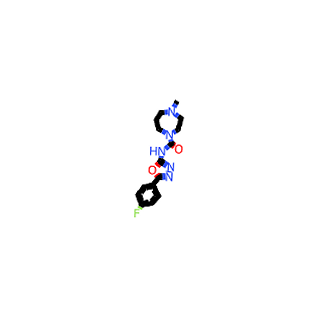 CN1CCCN(C(=O)Nc2nnc(-c3ccc(F)cc3)o2)CC1